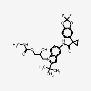 CNC(=O)OCC(O)Cn1c(C(C)(C)C)cc2cc(NC(=O)C3(c4ccc5c(c4)OC(F)(F)O5)CC3)ccc21